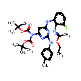 CCO/C(C)=N/c1c(F)cccc1Nc1cc(N(C(=O)OC(C)(C)C)C(=O)OC(C)(C)C)nc(Nc2ccc(C)cc2)n1